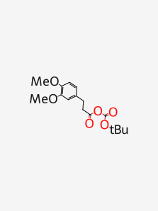 COc1ccc(CCC(=O)OC(=O)OC(C)(C)C)cc1OC